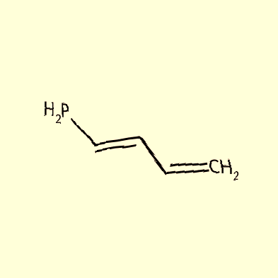 C=CC=CP